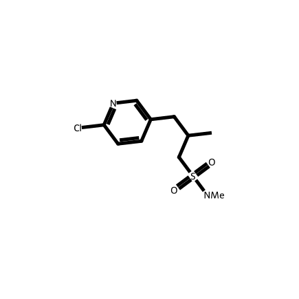 CNS(=O)(=O)CC(C)Cc1ccc(Cl)nc1